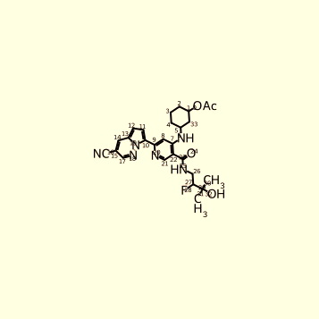 CC(=O)OC1CCCC(Nc2cc(-c3ccc4cc(C#N)cnn34)ncc2C(=O)NCC(F)C(C)(C)O)C1